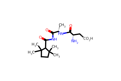 C[C@H](NC(=O)[C@@H](N)CC(=O)O)C(=O)NC(=O)C1C(C)(C)CCC1(C)C